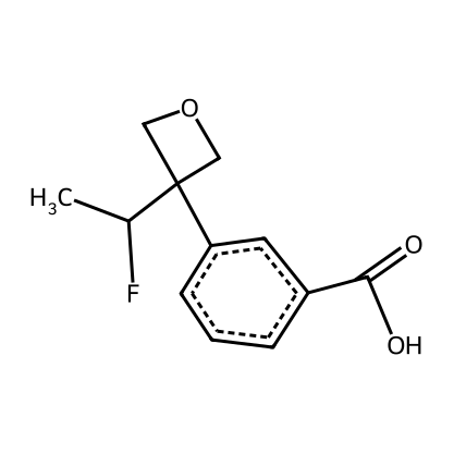 CC(F)C1(c2cccc(C(=O)O)c2)COC1